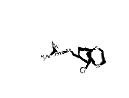 N=C(N)NN=Cc1ccc2c(c1Cl)SCCS2